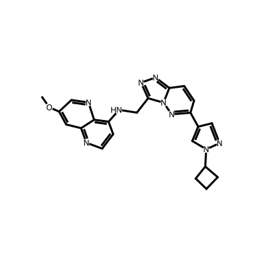 COc1cnc2c(NCc3nnc4ccc(-c5cnn(C6CCC6)c5)nn34)ccnc2c1